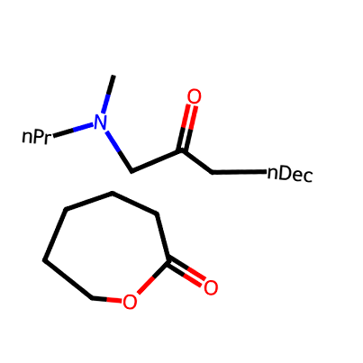 CCCCCCCCCCCC(=O)CN(C)CCC.O=C1CCCCCO1